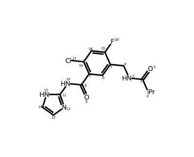 CC(C)C(=O)NCc1cc(C(=O)Nc2ncc[nH]2)c(Cl)cc1F